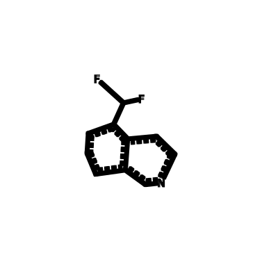 FC(F)c1cccc2cnccc12